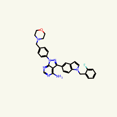 Nc1ncnc2c1c(-c1ccc3c(ccn3Cc3ccccc3F)c1)nn2-c1ccc(CN2CCOCC2)cc1